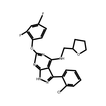 Fc1ccc(Oc2nc(NCC3CCCO3)c3c(-c4ccccc4Cl)n[nH]c3n2)c(F)c1